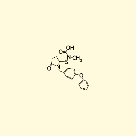 CN(SC1CCC(=O)N1Cc1ccc(Oc2ccccc2)cc1)C(=O)O